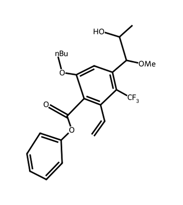 C=Cc1c(C(=O)Oc2ccccc2)c(OCCCC)cc(C(OC)C(C)O)c1C(F)(F)F